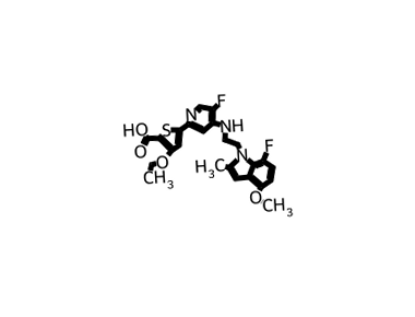 CCOc1cc(-c2cc(NCCn3c(C)cc4c(OC)ccc(F)c43)c(F)cn2)sc1C(=O)O